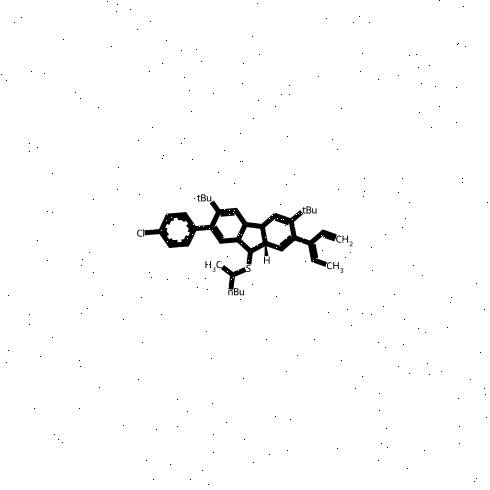 C=C/C(=C\C)C1=C[C@H]2C(C=C1C(C)(C)C)C1C=C(C(C)(C)C)C(c3ccc(Cl)cc3)=CC1C2SC(C)CCCC